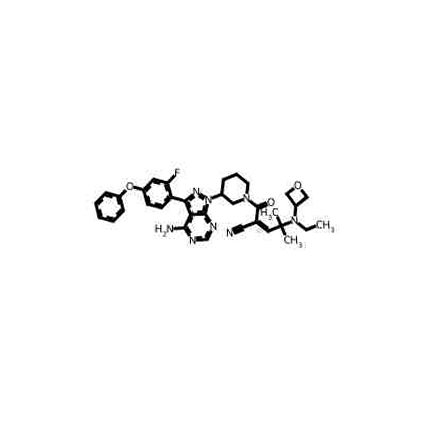 CCN(C1COC1)C(C)(C)/C=C(/C#N)C(=O)N1CCCC(n2nc(-c3ccc(Oc4ccccc4)cc3F)c3c(N)ncnc32)C1